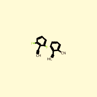 C#Cc1c(F)cccc1F.C#Cc1ccccc1C#N